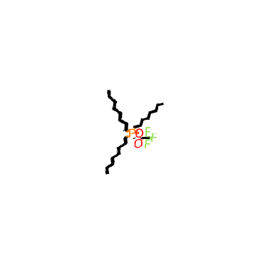 CCCCCCCCP(C)(CCCCCCCC)(CCCCCCCC)OC(=O)C(F)(F)F